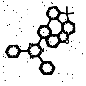 CC1(C)c2cccc(-c3ccc(-c4nc(-c5ccccc5)nc(-c5ccccc5)n4)cc3)c2-c2c1ccc1oc3ccccc3c21